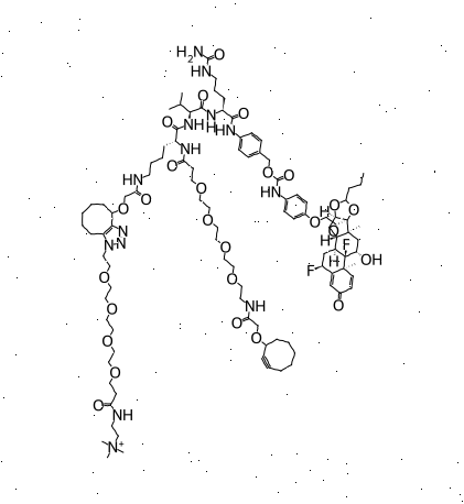 CCCC1O[C@@H]2C[C@H]3[C@@H]4C[C@H](F)C5=CC(=O)C=C[C@]5(C)[C@@]4(F)[C@@H](O)C[C@]3(C)[C@]2(C(=O)COc2ccc(NC(=O)OCc3ccc(NC(=O)[C@H](CCCNC(N)=O)NC(=O)[C@@H](NC(=O)[C@@H](CCCCNC(=O)COC4CCCCCc5c4nnn5CCOCCOCCOCCOCCC(=O)NCC[N+](C)(C)C)NC(=O)CCOCCOCCOCCOCCNC(=O)COC4C#CCCCCC4)C(C)C)cc3)cc2)O1